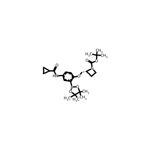 CC(C)(C)OC(=O)N1CC[C@@H]1COc1ccc(NC(=O)C2CC2)cc1B1OC(C)(C)C(C)(C)O1